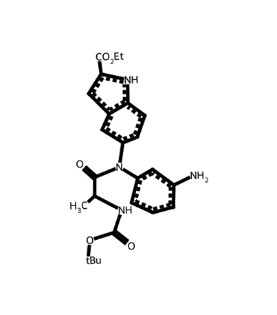 CCOC(=O)c1cc2cc(N(C(=O)C(C)NC(=O)OC(C)(C)C)c3cccc(N)c3)ccc2[nH]1